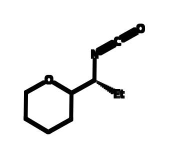 CC[C@@H](N=C=O)C1CCCCO1